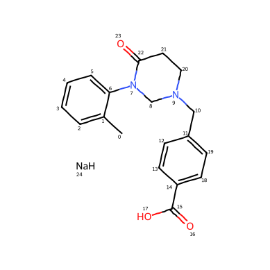 Cc1ccccc1N1CN(Cc2ccc(C(=O)O)cc2)CCC1=O.[NaH]